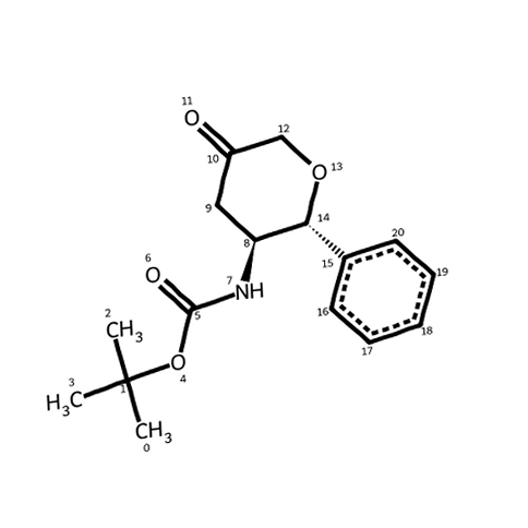 CC(C)(C)OC(=O)N[C@H]1CC(=O)CO[C@@H]1c1ccccc1